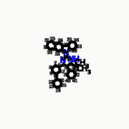 CC1(C)C2=C(C(c3cccc(-c4ccccc4)c3)=NC(n3c4ccccc4c4cc5ccccc5cc43)N2)c2ccccc21